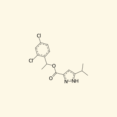 CC(C)c1cc(C(=O)OC(C)c2ccc(Cl)cc2Cl)n[nH]1